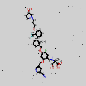 Cc1c(COc2cc(OCc3cncc(C#N)c3)c(CNC(C)(CO)C(=O)O)cc2Cl)cccc1-c1cccc(OCCCN2CCC(O)C2)c1C(F)F